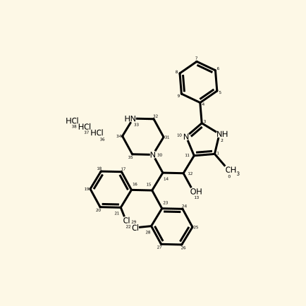 Cc1[nH]c(-c2ccccc2)nc1C(O)C(C(c1ccccc1Cl)c1ccccc1Cl)N1CCNCC1.Cl.Cl.Cl